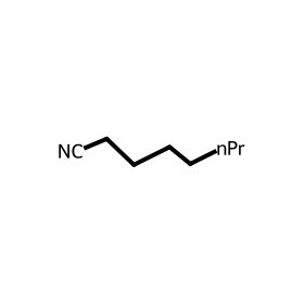 C[CH]CCCCCC#N